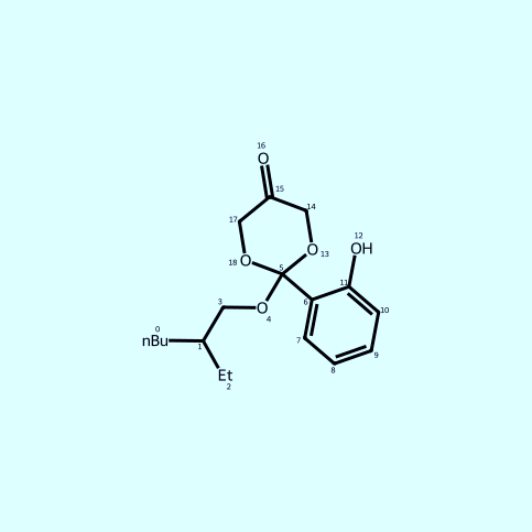 CCCCC(CC)COC1(c2ccccc2O)OCC(=O)CO1